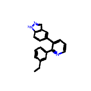 CCc1cccc(-c2ncccc2-c2ccc3[nH]ncc3c2)c1